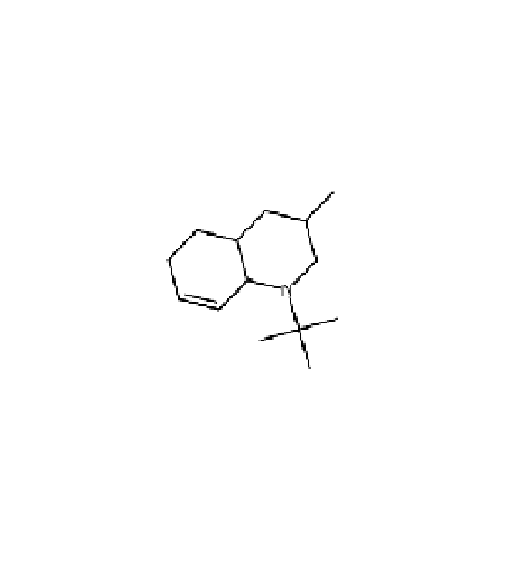 CC1CC2CCC=CC2N(C(C)(C)C)C1